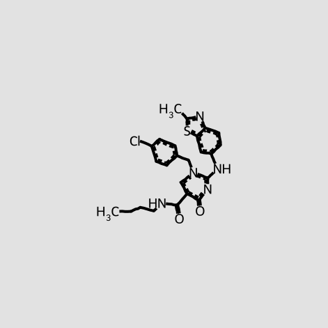 CCCCNC(=O)c1cn(Cc2ccc(Cl)cc2)c(Nc2ccc3nc(C)sc3c2)nc1=O